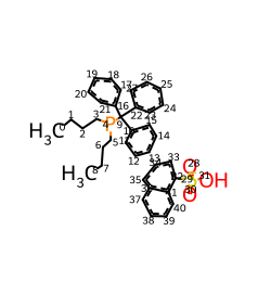 CCCCP(CCCC)C(c1ccccc1)(c1ccccc1)c1ccccc1.O=S(=O)(O)c1cccc2ccccc12